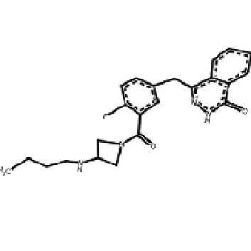 CCCCNC1CN(C(=O)c2cc(Cc3n[nH]c(=O)c4ccccc34)ccc2F)C1